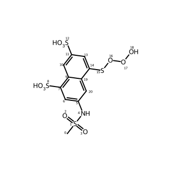 CS(=O)(=O)Nc1cc(S(=O)(=O)O)c2cc(S(=O)(=O)O)cc(SOOO)c2c1